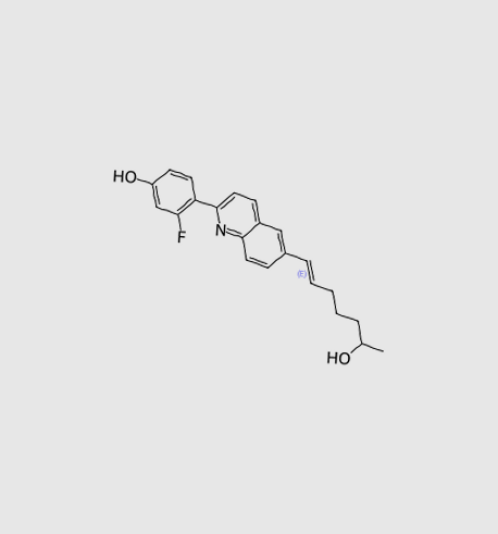 CC(O)CCC/C=C/c1ccc2nc(-c3ccc(O)cc3F)ccc2c1